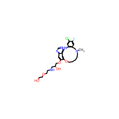 CN1CCCCCOc2cc3c(ncnc3cc2OC[C@@H](O)CNCCOCCO)Nc2cc(Cl)c(F)cc2C1